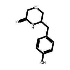 O=C1COCC(Cc2ccc(O)cc2)N1